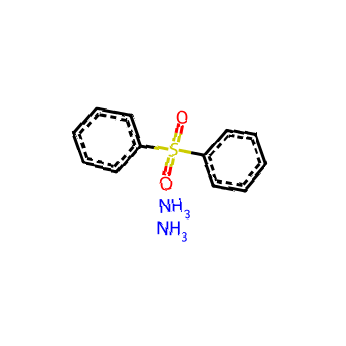 N.N.O=S(=O)(c1ccccc1)c1ccccc1